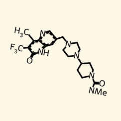 CNC(=O)N1CCC(N2CCN(Cc3cnc4c(C)c(C(F)(F)F)c(=O)[nH]c4c3)CC2)CC1